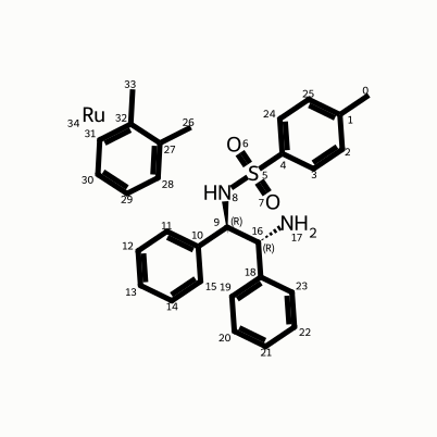 Cc1ccc(S(=O)(=O)N[C@H](c2ccccc2)[C@H](N)c2ccccc2)cc1.Cc1ccccc1C.[Ru]